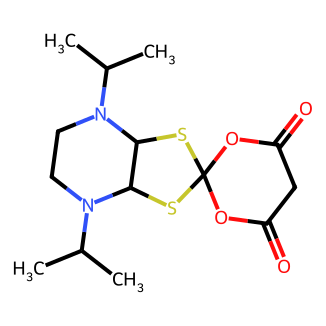 CC(C)N1CCN(C(C)C)C2SC3(OC(=O)CC(=O)O3)SC21